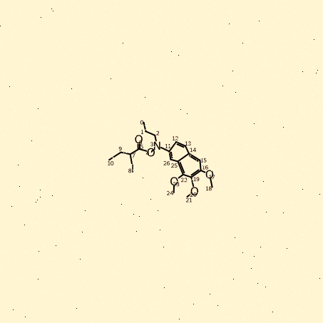 CCCN(OC(=O)C(I)CC)c1ccc2cc(OC)c(OC)c(OC)c2c1